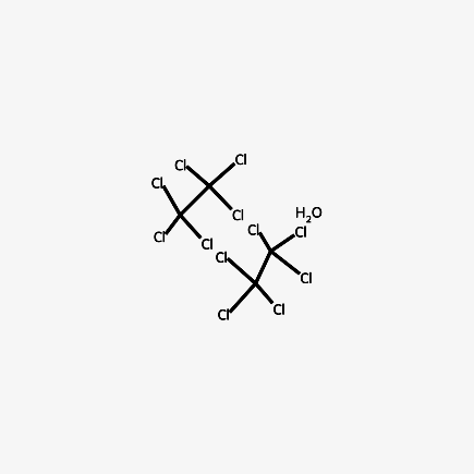 ClC(Cl)(Cl)C(Cl)(Cl)Cl.ClC(Cl)(Cl)C(Cl)(Cl)Cl.O